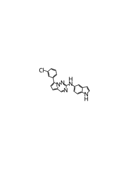 Clc1cccc(-c2ccc3cnc(Nc4ccc5[nH]ccc5c4)nn23)c1